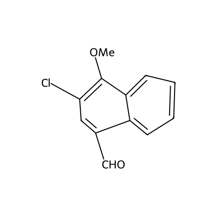 COc1c(Cl)cc(C=O)c2ccccc12